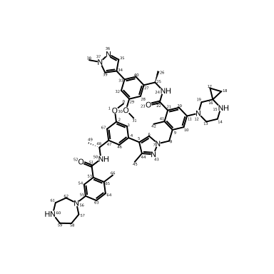 COc1cc(-c2cn(Cc3cc(N4CCNC5(CC5)C4)cc(C(=O)N[C@H](C)c4cc(OC)cc(-c5cnn(C)c5)c4)c3C)nc2C)cc([C@@H](C)NC(=O)c2cc(N3CCCNCC3)ccc2C)c1